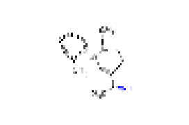 CC(=N)C1=C[C@H](c2ccccc2C)C(C)CC1